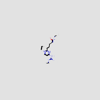 NC(=NCC(F)(F)F)Nc1ccnc(CCCCC(=O)NCC(F)(F)F)n1.O=C(O)/C=C\C(=O)O